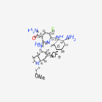 COCCn1ccc2c(Nc3nc(N[C@@H]4CCCC[C@@H]4N)c(F)cc3C(N)=O)cc(C(F)(F)F)cc21